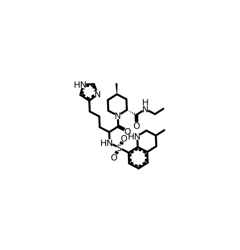 CCNC(=O)[C@H]1C[C@H](C)CCN1C(=O)C(CCCc1c[nH]cn1)NS(=O)(=O)c1cccc2c1NCC(C)C2